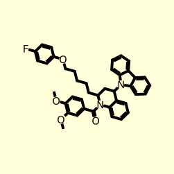 COc1ccc(C(=O)N2c3ccccc3C(n3c4ccccc4c4ccccc43)CC2CCCCCOc2ccc(F)cc2)cc1OC